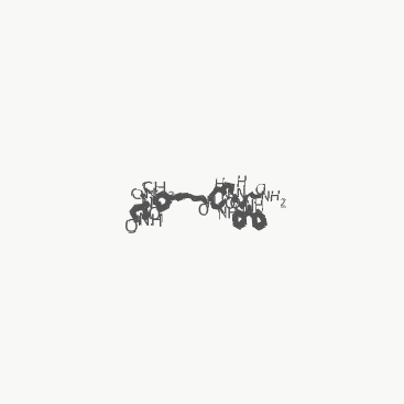 Cn1c(=O)n(C2CCC(=O)NC2=O)c2ccc(C#CCCCC(=O)N3CC[C@H]4CC[C@@H](C(=O)N[C@@H](CCC(N)=O)C(=O)NC(c5ccccc5)c5ccccc5)N4C(=O)[C@@H](N)C3)cc21